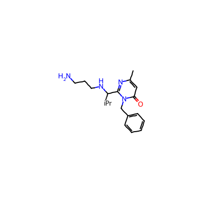 Cc1cc(=O)n(Cc2ccccc2)c(C(NCCCN)C(C)C)n1